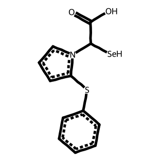 O=C(O)C([SeH])n1cccc1Sc1ccccc1